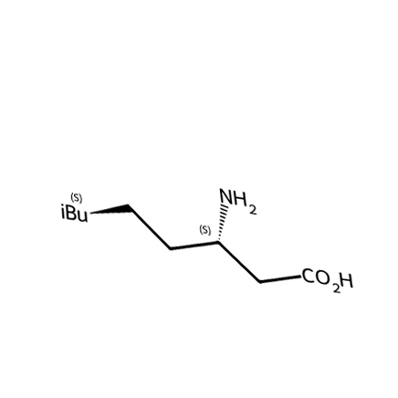 CC[C@H](C)CC[C@H](N)CC(=O)O